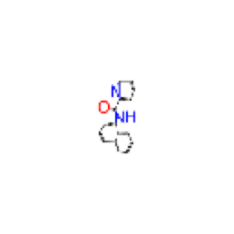 O=C(Nc1cccc2ccccc12)c1ccccn1